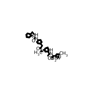 Cc1cc(C(=O)NC(CC(=O)O)c2cccc(N(C)C(=O)Cc3ccc(NC(=O)N4CCc5ccccc54)cc3)c2)no1